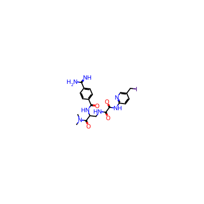 CN(C)C(=O)C(CNC(=O)C(=O)Nc1ccc(CI)cn1)NC(=O)c1ccc(C(=N)N)cc1